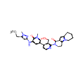 COCc1cc(Nc2cc(-c3ccnc(N4CCc5c(cc6n5CCCC6)C4=O)c3CO)cn(C)c2=O)nn1C